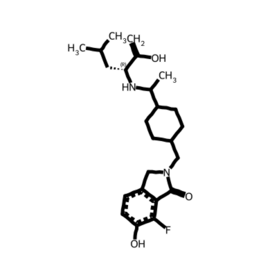 C=C(O)[C@@H](CC(C)C)NC(C)C1CCC(CN2Cc3ccc(O)c(F)c3C2=O)CC1